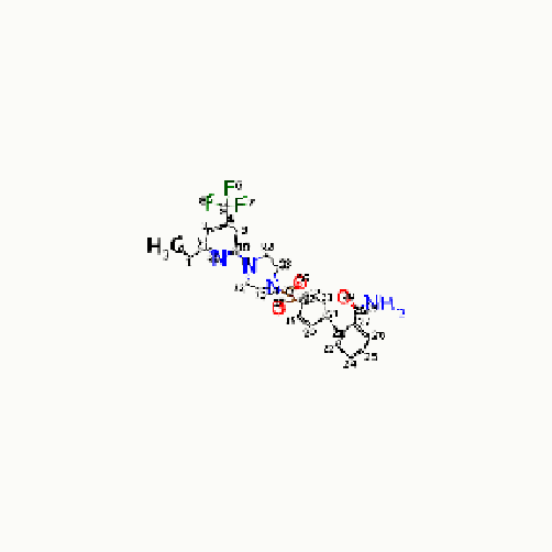 CCc1cc(C(F)(F)F)cc(N2CCN(S(=O)(=O)c3ccc(-c4ccccc4C(N)=O)cc3)CC2)n1